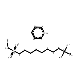 O=S(=O)(CCCCCCCCC(F)(F)F)OF.c1ccncc1